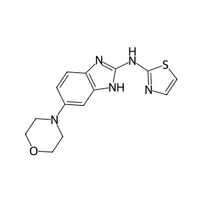 c1csc(Nc2nc3ccc(N4CCOCC4)cc3[nH]2)n1